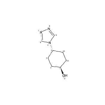 O[C@H]1CC[C@H](n2cnnc2)CC1